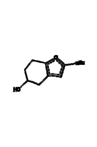 CCCCc1cc2c(o1)CCC(O)C2